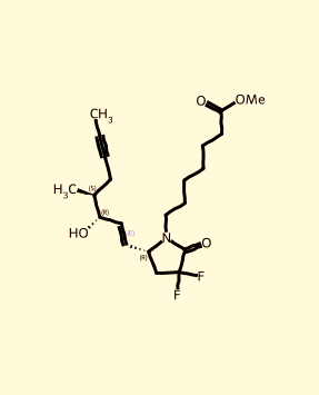 CC#CC[C@H](C)[C@@H](O)/C=C/[C@H]1CC(F)(F)C(=O)N1CCCCCCC(=O)OC